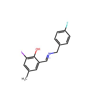 Cc1cc(I)c(O)c(/C=N/Cc2ccc(F)cc2)c1